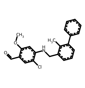 COc1cc(NCc2cccc(-c3ccccc3)c2C)c(Cl)cc1C=O